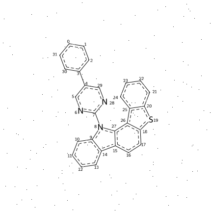 c1ccc(-c2cnc(-n3c4ccccc4c4ccc5sc6ccccc6c5c43)nc2)cc1